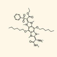 [C-]#[N+]C(C(N)=O)=C1N(C)c2c(OCCCCCC)c3c(c(OCCCCCC)c2N1C)N(C)C(=C(C(=O)OCC)S(=O)(=O)c1ccccc1)N3C